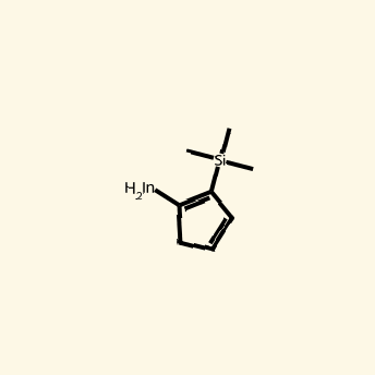 C[Si](C)(C)C1=[C]([InH2])CC=C1